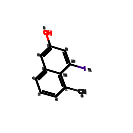 N#Cc1cccc2cc(O)cc(I)c12